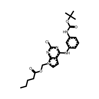 CCCCC(=O)OCn1ccc2c(Nc3cccc(NC(=O)OC(C)(C)C)c3)nc(Cl)nc21